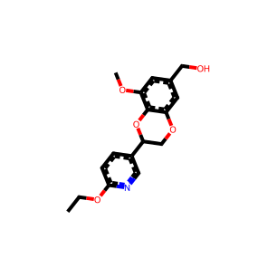 CCOc1ccc(C2COc3cc(CO)cc(OC)c3O2)cn1